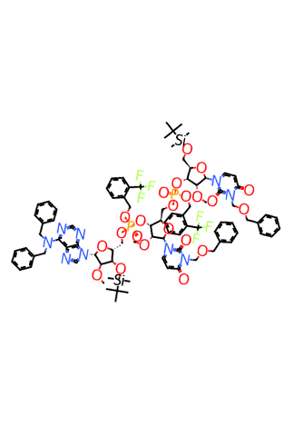 CO[C@@H]1[C@H](OP(=O)(OCc2ccccc2C(F)(F)F)OC[C@H]2O[C@@H](n3ccc(=O)n(COCc4ccccc4)c3=O)[C@H](OC)[C@@H]2OP(=O)(OCc2ccccc2C(F)(F)F)OC[C@H]2O[C@@H](n3cnc4c(N(Cc5ccccc5)Cc5ccccc5)ncnc43)[C@H](OC)[C@@H]2O[Si](C)(C)C(C)(C)C)[C@@H](CO[Si](C)(C)C(C)(C)C)O[C@H]1n1ccc(=O)n(COCc2ccccc2)c1=O